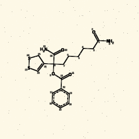 NC(=O)CCCCCC(OC(=O)c1ccccc1)(C(N)=O)C1=CSSC1